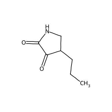 CCCC1CNC(=O)C1=O